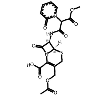 COC(=O)C(C(=O)N[C@@H]1C(=O)N2C(C(=O)O)=C(COC(C)=O)CS[C@H]12)n1ccccc1=O